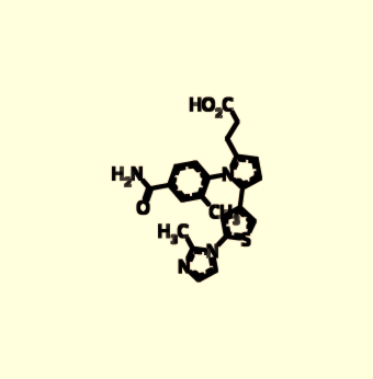 Cc1cc(C(N)=O)ccc1-n1c(CCC(=O)O)ccc1-c1csc(-n2ccnc2C)c1